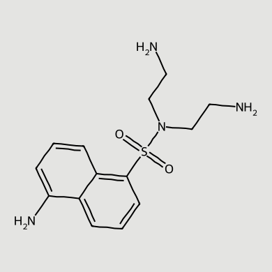 NCCN(CCN)S(=O)(=O)c1cccc2c(N)cccc12